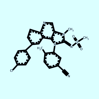 Cc1ccc(C#N)cc1-n1/c(=N/S(C)(=O)=O)n(C)c2cnc3ccc(-c4ccc(Cl)cc4)cc3c21